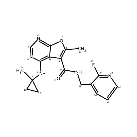 Cc1oc2ncnc(NC3(C)CC3)c2c1C(=O)NCc1cccnc1F